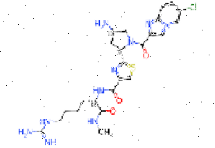 CNC(=O)[C@H](CCCCNC(=N)N)NC(=O)c1csc([C@@H]2C[C@@H](N)CN2C(=O)c2cn3cc(Cl)ccc3n2)n1